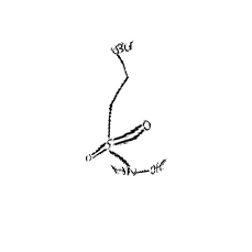 CC(C)(C)CCS(=O)(=O)NO